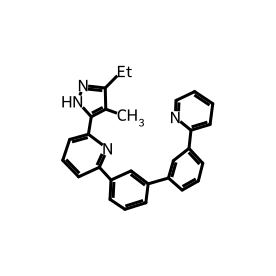 CCc1n[nH]c(-c2cccc(-c3cccc(-c4cccc(-c5ccccn5)c4)c3)n2)c1C